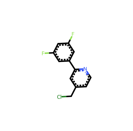 Fc1cc(F)cc(-c2cc(CCl)ccn2)c1